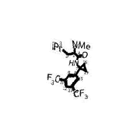 CNC(CC(C)C)C(=O)NC1(c2cc(C(F)(F)F)cc(C(F)(F)F)c2)CC1